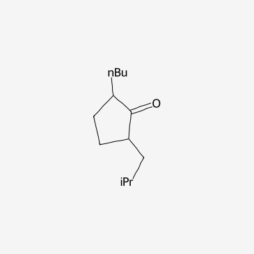 CCCCC1CCC(CC(C)C)C1=O